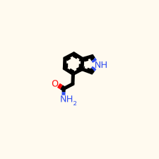 NC(=O)Cc1cccc2c[nH]cc12